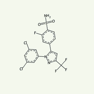 NS(=O)(=O)c1ccc(-c2cc(C(F)(F)F)nn2-c2cc(Cl)cc(Cl)c2)cc1F